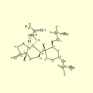 CC(C)(C)[Si](C)(C)OC[C@H]1CC(O[Si](C)(C)C(C)(C)C)CC[C@]1(C)[C@H]1CC[C@]2(C)C(=O)CC[C@H]2[C@@H]1CNC(=O)C(F)(F)F